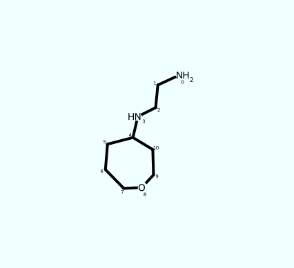 NCCNC1CCCOCC1